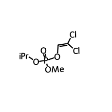 COP(=O)(OC=C(Cl)Cl)OC(C)C